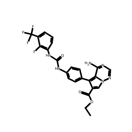 CCOC(=O)c1cn2ncnc(N)c2c1-c1ccc(NC(=O)Nc2cccc(C(F)(F)F)c2F)cc1